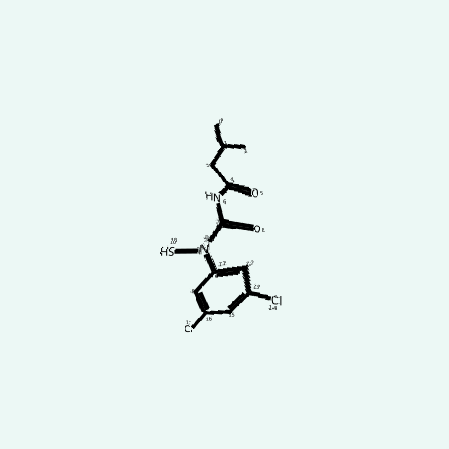 CC(C)CC(=O)NC(=O)N(S)c1cc(Cl)cc(Cl)c1